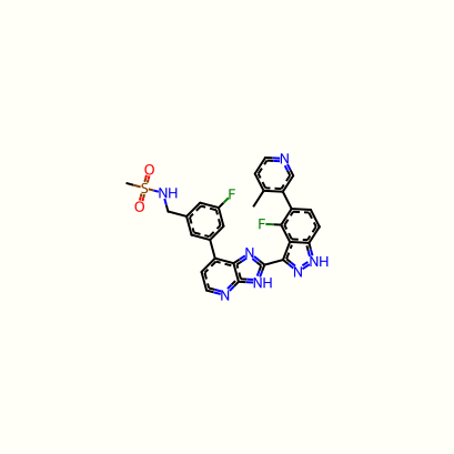 Cc1ccncc1-c1ccc2[nH]nc(-c3nc4c(-c5cc(F)cc(CNS(C)(=O)=O)c5)ccnc4[nH]3)c2c1F